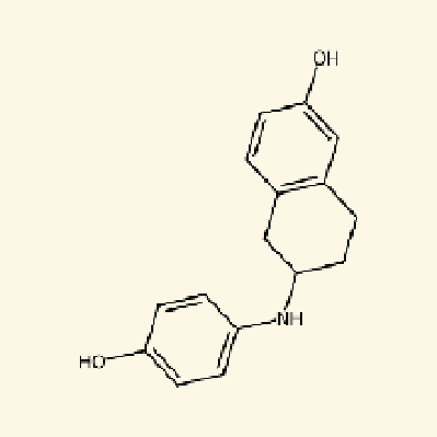 Oc1ccc(NC2CCc3cc(O)ccc3C2)cc1